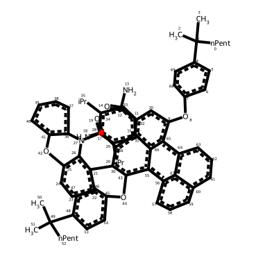 CCCCCC(C)(C)c1ccc(Oc2cc(C(N)=O)c3c(C(N)=O)c(-c4cccc5c4N(c4c(C(C)C)cccc4C(C)C)c4ccccc4O5)c(Oc4ccc(C(C)(C)CCCCC)cc4)c4c5cccc6cccc(c2c34)c65)cc1